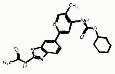 CC(=O)Nc1nc2ccc(-c3cc(NC(=O)OC4CCCCC4)c(C)cn3)cc2s1